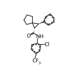 O=C(Nc1ccc(C(F)(F)F)cc1Cl)[C@H]1[C@H](c2ccccc2)C12CCCC2